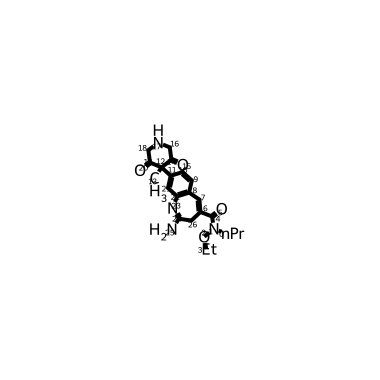 CCCN(OCC)C(=O)C1=Cc2ccc(C3(C)C(=O)CNCC3=O)cc2N=C(N)C1